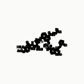 CCCCOc1cc(C(=O)NCCN(CC)CC)c2ccccc2n1.CCN1CCCC1CNC(=O)c1cc(S(N)(=O)=O)ccc1OC.CO/N=C(\C(=O)N[C@@H]1C(=O)N2C(C(=O)O)=C(COC(C)=O)CS[C@H]12)c1csc(N)n1